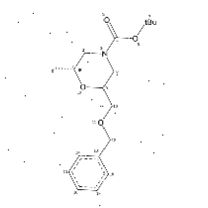 C[C@@H]1CN(C(=O)OC(C)(C)C)CC(COCc2ccccc2)O1